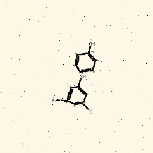 Nc1cc(Br)cc(Br)c1.Oc1ccccc1